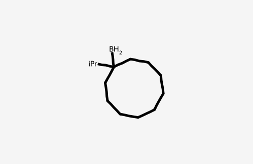 BC1(C(C)C)CCCCCCCCC1